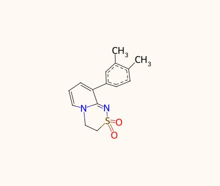 Cc1ccc(C2=CC=CN3CCS(=O)(=O)N=C23)cc1C